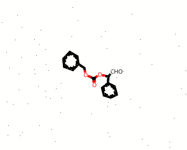 O=[C]C(OC(=O)OCc1ccccc1)c1ccccc1